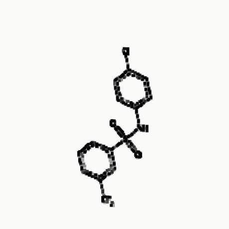 O=S(=O)(Nc1ccc(Cl)cc1)c1cccc(C(F)(F)F)c1